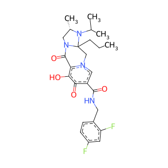 CCCC12Cn3cc(C(=O)NCc4ccc(F)cc4F)c(=O)c(O)c3C(=O)N1C[C@H](C)N2C(C)C